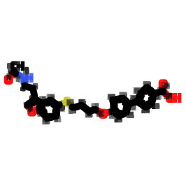 CC(=O)NCCc1coc2ccc(SCCCCOc3ccc(-c4ccc(C(=O)O)cc4)cc3)cc12